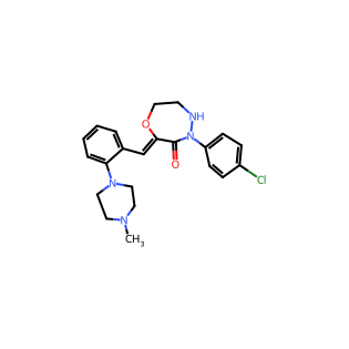 CN1CCN(c2ccccc2C=C2OCCNN(c3ccc(Cl)cc3)C2=O)CC1